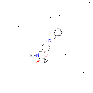 CCN1C[C@]2(CC[C@@H](NCc3ccccc3)CC2)OC2(CC2)C1=O